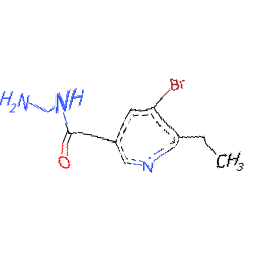 CCc1ncc(C(=O)NN)cc1Br